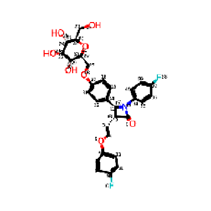 O=C1[C@H](CCOc2ccc(F)cc2)[C@@H](c2ccc(OC[C@@H]3O[C@H](CO)[C@@H](O)[C@H](O)[C@H]3O)cc2)N1c1ccc(F)cc1